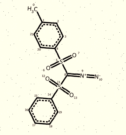 Cc1ccc(S(=O)(=O)C(=[N+]=[N-])S(=O)(=O)c2ccccc2)cc1